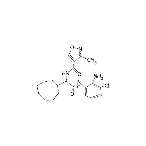 Cc1nocc1C(=O)NC(C(=O)Nc1cccc(Cl)c1N)C1CCCCCCC1